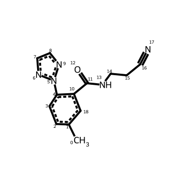 Cc1ccc(-n2nccn2)c(C(=O)NCCC#N)c1